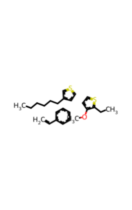 C=Cc1ccccc1.CCCCCCc1ccsc1.CCc1sccc1OC